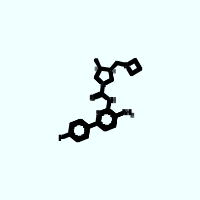 C[C@@H]1CN(C(=O)Nc2nc(-c3ccc(F)cc3)ccc2N)C[C@@H]1CN1CCC1